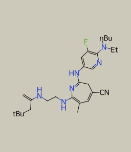 C=C(CC(C)(C)C)NCCNC1=C(C)C=C(C#N)CC(Nc2cnc(N(CC)CCCC)c(F)c2)=N1